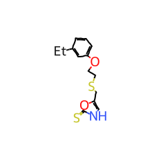 CCc1cccc(OCCSCc2c[nH]c(=S)o2)c1